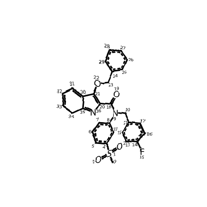 CS(=O)(=O)c1cccc(N(Cc2ccc(F)cc2)C(=O)C2=C(OCc3ccccc3)C3=CC=CCC3=N2)c1